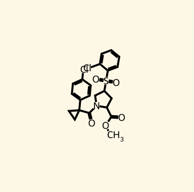 COC(=O)C1CC(S(=O)(=O)c2ccccc2Cl)CN1C(=O)C1(c2ccc(Cl)cc2)CC1